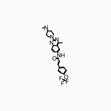 Cc1nc(N2CCC(N(C)C)CC2)nc2ccc(NC(=O)C=Cc3ccc(OC(F)(F)F)cc3)cc12